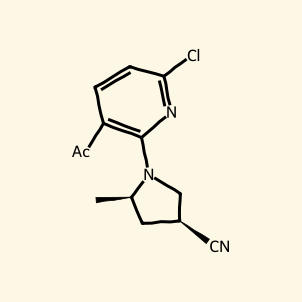 CC(=O)c1ccc(Cl)nc1N1C[C@@H](C#N)C[C@H]1C